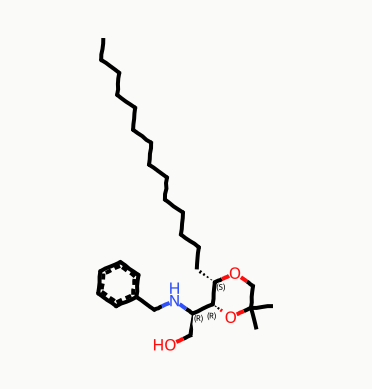 CCCCCCCCCCCCCC[C@@H]1OCC(C)(C)O[C@@H]1[C@@H](CO)NCc1ccccc1